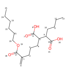 C=C(CCCC(C(=O)O)C(CCCC)C(=O)O)C(=O)OCCCCCC